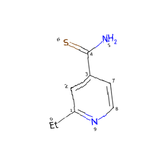 C[14CH2]c1cc(C(N)=S)ccn1